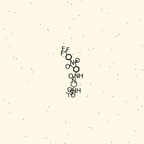 CC(C)S(=O)(=O)NC1CCN(C(=O)Nc2ccc3c(c2)C(=O)N(c2ccc(C(F)(F)F)cc2)C3=O)CC1